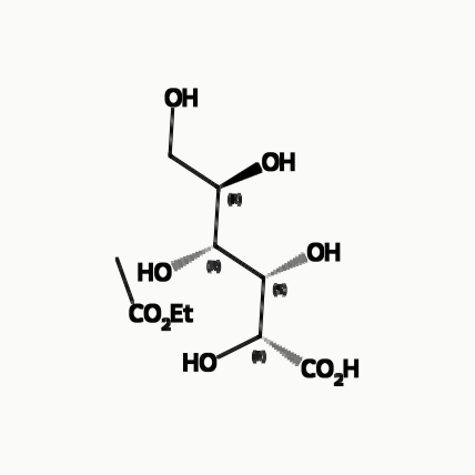 CCOC(C)=O.O=C(O)[C@H](O)[C@@H](O)[C@H](O)[C@H](O)CO